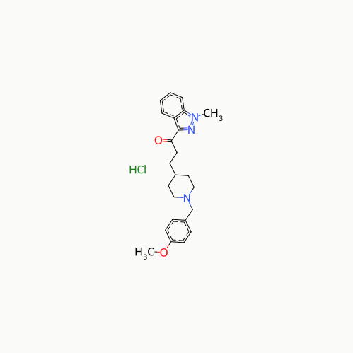 COc1ccc(CN2CCC(CCC(=O)c3nn(C)c4ccccc34)CC2)cc1.Cl